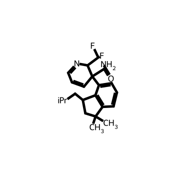 CC(C)CC1CC(C)(C)c2cccc(C3(C(N)=O)C=CC=NC3C(F)F)c21